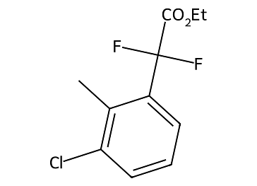 CCOC(=O)C(F)(F)c1cccc(Cl)c1C